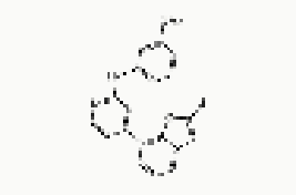 COc1cccc(Nc2nccc(-c3cccc4cc(I)oc34)n2)c1